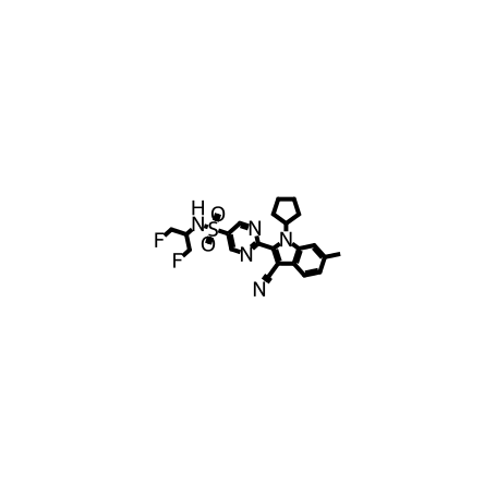 Cc1ccc2c(C#N)c(-c3ncc(S(=O)(=O)NC(CF)CF)cn3)n(C3CCCC3)c2c1